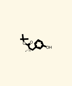 C[C@@H](Cc1cccc(O)c1)C(=O)OC(C)(C)C